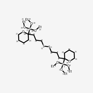 CCO[Si](OCC)(OCC)C1(CCCSSCCCC2([Si](OCC)(OCC)OCC)CCCCO2)CCCCO1